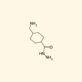 NCC1CCC(C(=O)NN)CC1